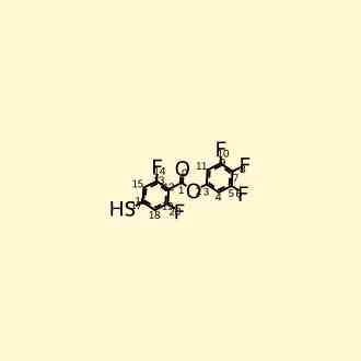 O=C(Oc1cc(F)c(F)c(F)c1)c1c(F)cc(S)cc1F